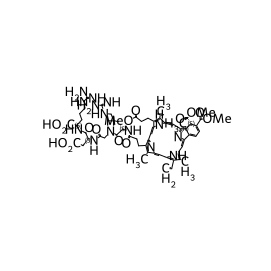 C=Cc1c(C)c2cc3nc(cc4[nH]c(cc5nc(cc1[nH]2)C(C)=C5CCC(=O)N[C@@H](CCCNC(=N)N)C(=O)NCC(=O)N[C@@H](CC(=O)O)C(=O)N[C@@H](CCCNC(=N)N)C(=O)O)c(CCC(=O)OC)c4C)[C@@]1(C)C3=CC=C(C(=O)OC)[C@H]1C(=O)OC